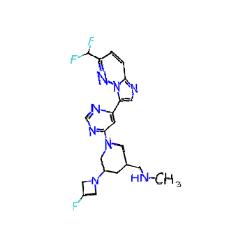 CNCC1CC(N2CC(F)C2)CN(c2cc(-c3cnc4ccc(C(F)F)nn34)ncn2)C1